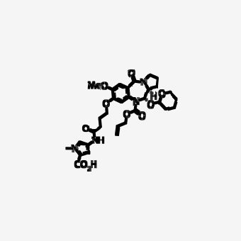 C=CCOC(=O)N1c2cc(OCCCC(=O)Nc3cc(C(=O)O)n(C)c3)c(OC)cc2C(=O)N2CCC[C@H]2[C@@H]1OC1CCCCO1